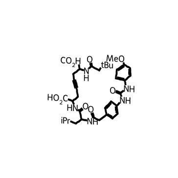 COc1ccc(NC(=O)Nc2ccc(CC(=O)NC(CC(C)C)C(=O)NC(CC#CCC(NC(=O)CC(C)(C)C)C(=O)O)C(=O)O)cc2)cc1